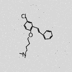 CN(C)CCCCOc1ccc(Cl)cc1C=Cc1ccccc1